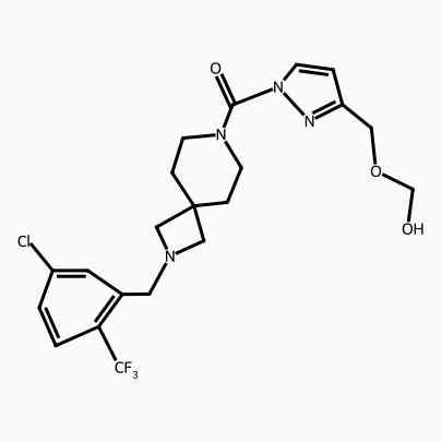 O=C(N1CCC2(CC1)CN(Cc1cc(Cl)ccc1C(F)(F)F)C2)n1ccc(COCO)n1